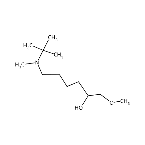 COCC(O)CCCCN(C)C(C)(C)C